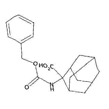 O=C(NC1(C(=O)O)C2CC3CC(C2)CC1C3)OCc1ccccc1